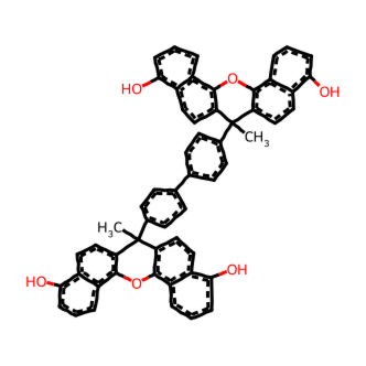 CC1(c2ccc(-c3ccc(C4(C)c5ccc6c(O)cccc6c5Oc5c4ccc4c(O)cccc54)cc3)cc2)c2ccc3c(O)cccc3c2Oc2c1ccc1c(O)cccc21